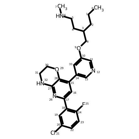 CCCC(CCNC)COc1cncc(-c2cc(-c3cc(Cl)ccc3F)nc3c2OCCN3)c1